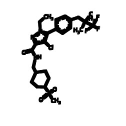 CCn1nc(C(=O)NCC2CCC(S(C)(=O)=O)CC2)c(Cl)c1-c1ccc(CC(C)(C)C(F)(F)F)cc1